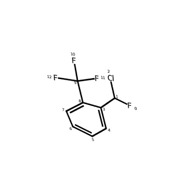 FC(Cl)c1ccccc1C(F)(F)F